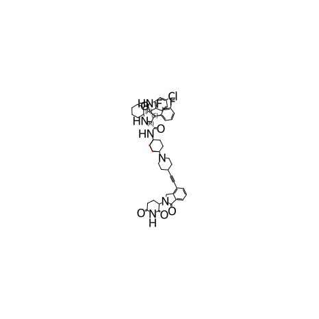 O=C1CCC(N2Cc3c(C#CC4CCN(C56CCC(NC(=O)[C@@H]7NC8(CCCCC8)[C@@]8(C(=O)Nc9cc(Cl)ccc98)[C@H]7c7cccc(F)c7F)(CC5)CC6)CC4)cccc3C2=O)C(=O)N1